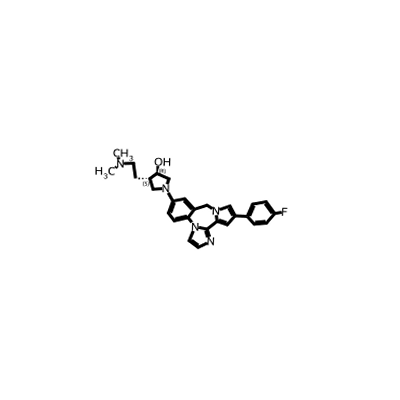 CN(C)CC[C@H]1CN(c2ccc3c(c2)Cn2cc(-c4ccc(F)cc4)cc2-c2nccn2-3)C[C@@H]1O